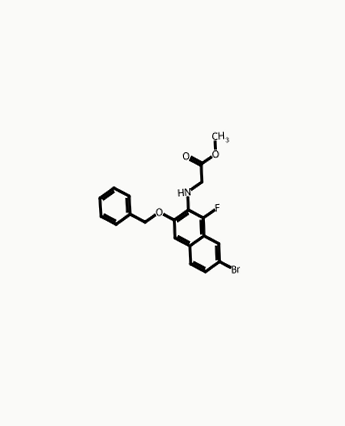 COC(=O)CNc1c(OCc2ccccc2)cc2ccc(Br)cc2c1F